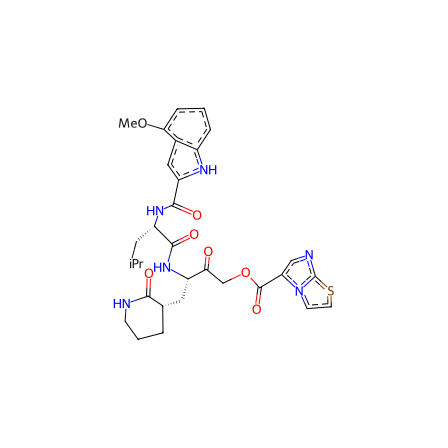 COc1cccc2[nH]c(C(=O)N[C@@H](CC(C)C)C(=O)N[C@@H](C[C@@H]3CCCNC3=O)C(=O)COC(=O)c3cnc4sccn34)cc12